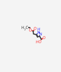 CCOC(=O)Cc1cc(C(=O)O)n[nH]1